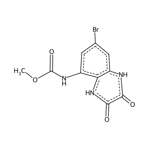 COC(=O)Nc1cc(Br)cc2[nH]c(=O)c(=O)[nH]c12